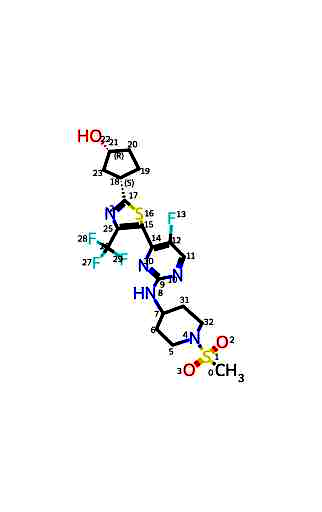 CS(=O)(=O)N1CCC(Nc2ncc(F)c(-c3sc([C@H]4CC[C@@H](O)C4)nc3C(F)(F)F)n2)CC1